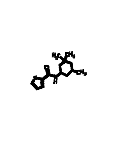 CC1CC(NC(=O)c2cccs2)CC(C)(C)C1